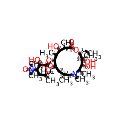 CC[C@H]1OC(=O)[C@H](C)C(O)[C@H](C)[C@@H](O[C@@H]2O[C@H](C)CC([N+](C)(C)[O-])[C@H]2O)[C@](C)(O)C[C@@H](C)CN(C)[C@H](C)[C@@H](O)[C@]1(C)O